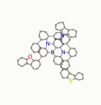 c1ccc(-c2cccc(-c3ccccc3)c2N2c3ccc(-c4cccc5c4oc4ccccc45)cc3B3c4ccc(-c5ccc6sc7ccccc7c6c5)cc4N(c4c(-c5ccccc5)cccc4-c4ccccc4)c4cc(-n5c6ccccc6c6ccccc65)cc2c43)cc1